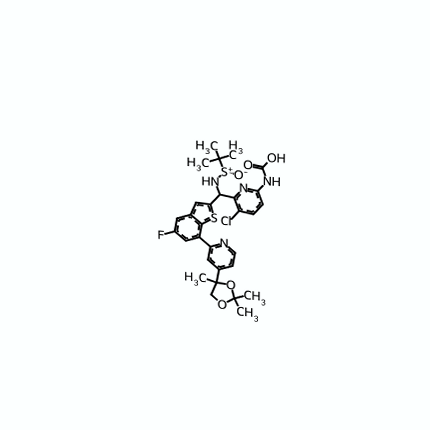 CC1(C)OCC(C)(c2ccnc(-c3cc(F)cc4cc(C(N[S@@+]([O-])C(C)(C)C)c5nc(NC(=O)O)ccc5Cl)sc34)c2)O1